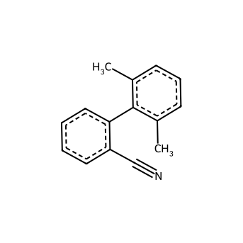 Cc1cccc(C)c1-c1ccccc1C#N